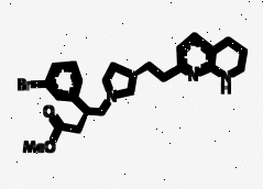 COC(=O)C[C@H](CN1CC[C@@H](CCc2ccc3c(n2)NCCC3)C1)c1cccc(Br)c1